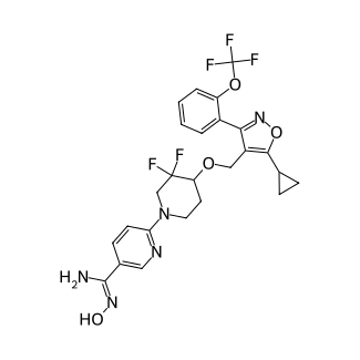 N/C(=N\O)c1ccc(N2CCC(OCc3c(-c4ccccc4OC(F)(F)F)noc3C3CC3)C(F)(F)C2)nc1